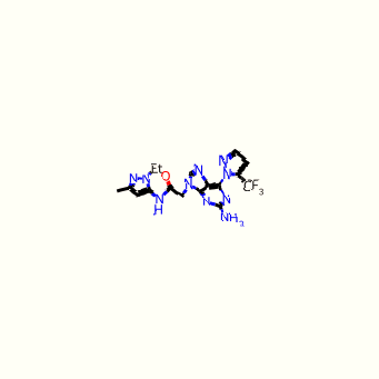 CCn1nc(C)cc1NC(=O)Cn1cnc2c(-n3nccc3C(F)(F)F)nc(N)nc21